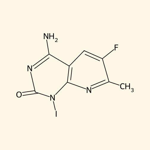 Cc1nc2c(cc1F)c(N)nc(=O)n2I